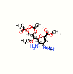 COC(=O)C1=C[C@H](N=[N+]=[N-])[C@@H](N)[C@H]([C@H](OC)[C@@H](COC(C)=O)OC(C)=O)O1